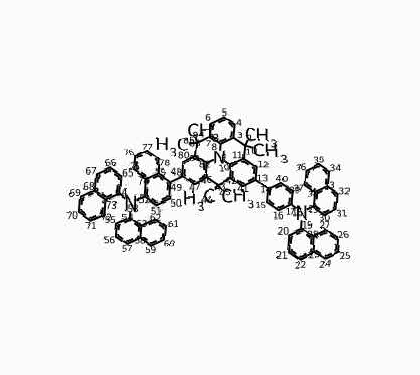 CC1(C)c2cccc3c2N2c4c1cc(-c1ccc(N(c5cccc6ccccc56)c5cccc6ccccc56)cc1)cc4C(C)(C)c1cc(-c4ccc(N(c5cccc6ccccc56)c5cccc6ccccc56)c5ccccc45)cc(c12)C3(C)C